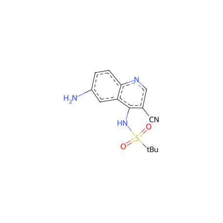 CC(C)(C)S(=O)(=O)Nc1c(C#N)cnc2ccc(N)cc12